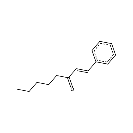 CCCCCC(=O)/C=C/c1ccccc1